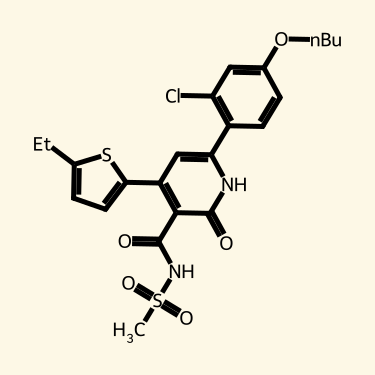 CCCCOc1ccc(-c2cc(-c3ccc(CC)s3)c(C(=O)NS(C)(=O)=O)c(=O)[nH]2)c(Cl)c1